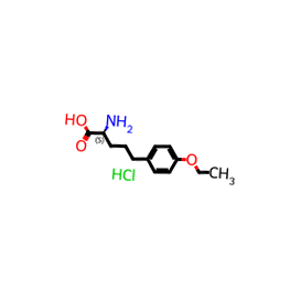 CCOc1ccc(CCC[C@H](N)C(=O)O)cc1.Cl